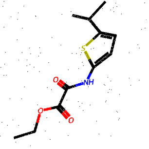 CCOC(=O)C(=O)Nc1ccc(C(C)C)s1